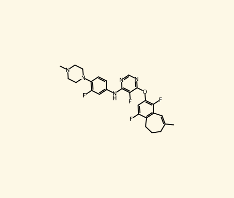 CC1=Cc2c(F)c(Oc3ncnc(Nc4ccc(N5CCN(C)CC5)c(F)c4)c3F)cc(F)c2CCC1